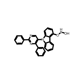 OBOc1cccc2c1c1ccccc1n2-c1cnc(-c2ccccc2)nc1-c1ccccc1